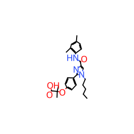 CCCCCn1cc(C(=O)Nc2ccc(C)cc2C)nc1-c1ccc(OC(C)(C)C(=O)O)cc1